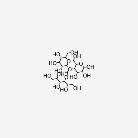 OC[C@@H](O)[C@@H](O)[C@H](O)[C@H](O)CO.OC[C@H]1O[C@H](O[C@H]2[C@H](O)[C@@H](O)[C@H](O)O[C@@H]2CO)[C@H](O)[C@@H](O)[C@@H]1O